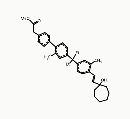 CCC(CC)(c1ccc(C=CC2(O)CCCCCC2)c(C)c1)c1ccc(-c2ccc(CC(=O)OC)cc2)c(C)c1